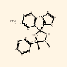 Br.CN1N[N+](c2ccccc2)(c2nccs2)NC1(C)c1ccccc1